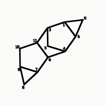 C1C2C3CC(C12)C1C2CC2CC31